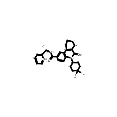 C[C@H](NC(=O)c1ccc2c(c1)c1c(c(=O)n2C2CCC(F)(F)CC2)CCCC1)c1ccccn1